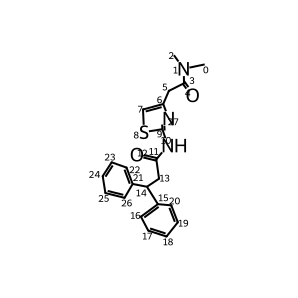 CN(C)C(=O)Cc1csc(NC(=O)CC(c2ccccc2)c2ccccc2)n1